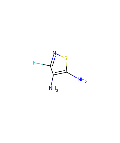 Nc1snc(F)c1N